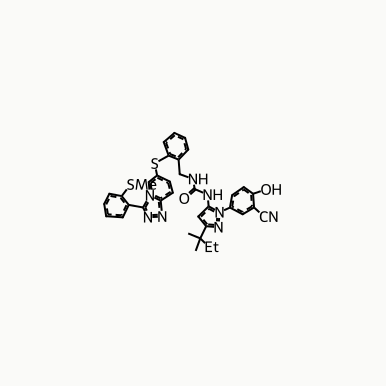 CCC(C)(C)c1cc(NC(=O)NCc2ccccc2Sc2ccc3nnc(-c4ccccc4SC)n3c2)n(-c2ccc(O)c(C#N)c2)n1